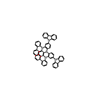 c1ccc(-c2ccccc2N2c3cc(-n4c5ccccc5c5ccccc54)ccc3B3c4ccc(-n5c6ccccc6c6ccccc65)cc4N(c4ccccc4-c4ccccc4)c4cccc2c43)cc1